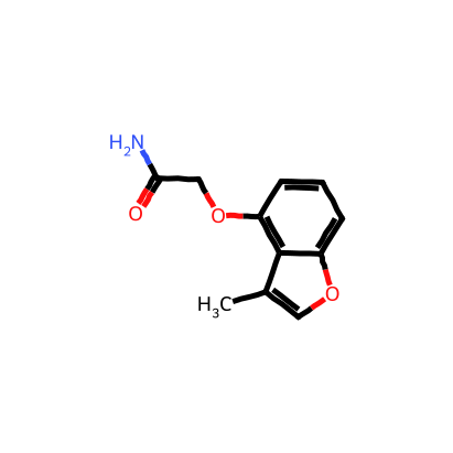 Cc1coc2cccc(OCC(N)=O)c12